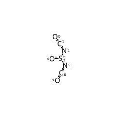 O=C=N[S+]([O-])N=C=O